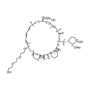 CO[C@@H]1C[C@H](C[C@@H](C)[C@@H]2CC(=O)[C@H](C)/C=C(\C)[C@@H](O)[C@@H](OC)C(=O)CC[C@H](C)/C=C/C=C/C=C(\C)[C@H](OCCOCCOCCO)C[C@@H]3CC[C@@H](C)[C@@](O)(O3)C(=O)C(=O)N3CCCC[C@H]3C(=O)O2)CC[C@H]1O